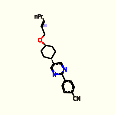 CCC/C=C/CO[C@H]1CC[C@H](c2cnc(-c3ccc(C#N)cc3)nc2)CC1